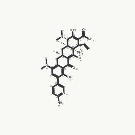 C=C[C@]1(C)C(C(N)=O)=C(O)[C@@H](N(C)C)[C@@H]2C[C@@H]3Cc4c(N(C)C)cc(-c5ccc(N)nc5)c(O)c4C(=O)C3=C(O)[C@@]21P